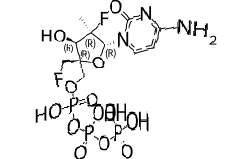 C[C@@]1(F)[C@H](O)[C@@](CF)(COP(=O)(O)OP(=O)(O)OP(=O)(O)O)O[C@H]1n1ccc(N)nc1=O